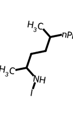 CCCC(C)CCC(C)NI